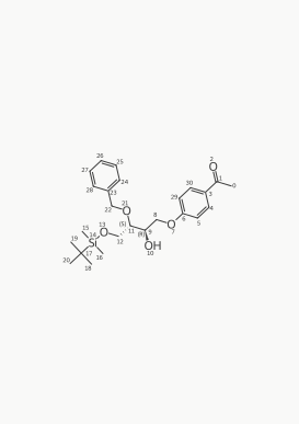 CC(=O)c1ccc(OC[C@@H](O)[C@H](CO[Si](C)(C)C(C)(C)C)OCc2ccccc2)cc1